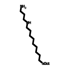 CCCCCCCCCCCCCCCCCNCCCN